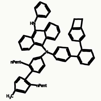 CCCCCc1cc(C)ccc1-c1ccc(N(c2ccc(-c3ccccc3-c3ccc4c(c3)CC4)cc2)c2c3ccccc3c(Nc3ccccc3)c3ccccc23)cc1CCCCC